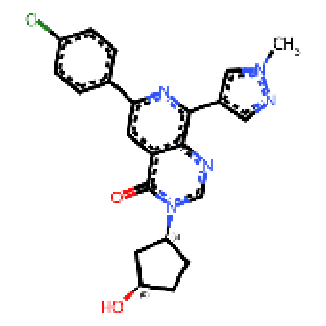 Cn1cc(-c2nc(-c3ccc(Cl)cc3)cc3c(=O)n([C@H]4CC[C@@H](O)C4)cnc23)cn1